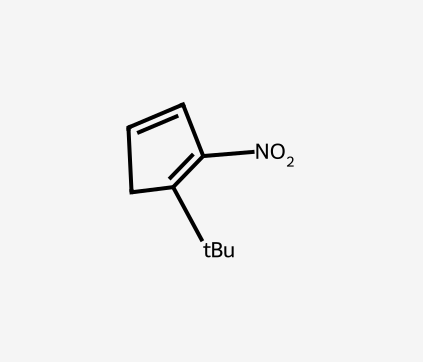 CC(C)(C)C1=C([N+](=O)[O-])C=CC1